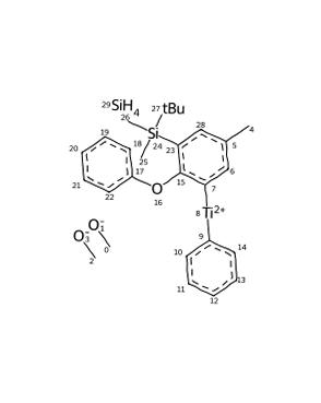 C[O-].C[O-].Cc1c[c]([Ti+2][c]2ccccc2)c(Oc2ccccc2)c([Si](C)(C)C(C)(C)C)c1.[SiH4]